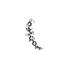 Cc1cc(NC(=O)c2cnn(-c3ccc(C(F)(F)F)cn3)c2C)cnc1C1=CCC(N(C)CC(C)C)CC1